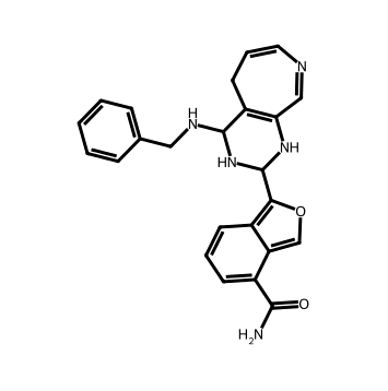 NC(=O)c1cccc2c(C3NC4=C(CC=CN=C4)C(NCc4ccccc4)N3)occ12